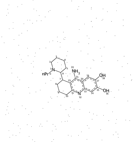 CCCN1CCCCC1C1CCCc2nc3cc(O)c(O)cc3c(N)c21